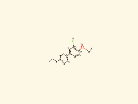 CCCc1ccc(-c2ccc(OCC)c(F)c2)cc1